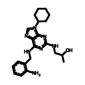 CC(O)CNc1nc(NCc2ccccc2N)c2ncn(C3CCCCC3)c2n1